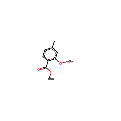 CCCCOC(=O)c1ccc(C)cc1OCCCC